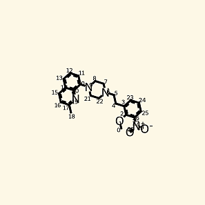 COc1c(CCN2CCN(c3cccc4ccc(C)nc34)CC2)cccc1[N+](=O)[O-]